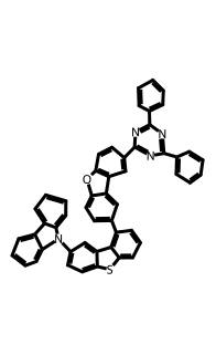 c1ccc(-c2nc(-c3ccccc3)nc(-c3ccc4oc5ccc(-c6cccc7sc8ccc(-n9c%10ccccc%10c%10ccccc%109)cc8c67)cc5c4c3)n2)cc1